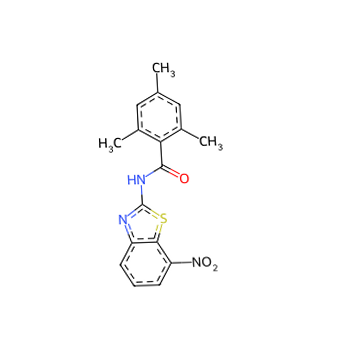 Cc1cc(C)c(C(=O)Nc2nc3cccc([N+](=O)[O-])c3s2)c(C)c1